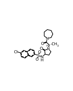 C[C@@H](C(=O)N1CCCCCC1)N1CCC(NS(=O)(=O)c2ccc3cc(Cl)ccc3c2)C1=O